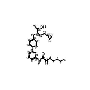 CCCCCNC(=O)N(C)c1cccc(-c2ccc(C[C@H](OCC3CC3)C(=O)O)cc2)n1